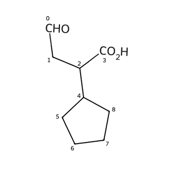 O=CCC(C(=O)O)C1CCCC1